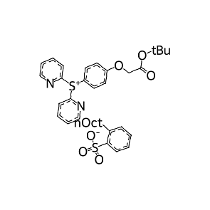 CC(C)(C)OC(=O)COc1ccc([S+](c2ccccn2)c2ccccn2)cc1.CCCCCCCCc1ccccc1S(=O)(=O)[O-]